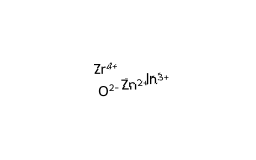 [In+3].[O-2].[Zn+2].[Zr+4]